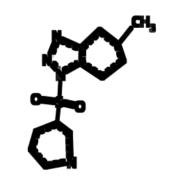 Cc1ccc2c(c1)nnn2S(=O)(=O)c1cccnc1